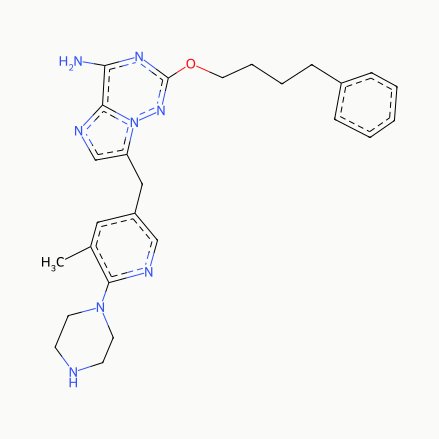 Cc1cc(Cc2cnc3c(N)nc(OCCCCc4ccccc4)nn23)cnc1N1CCNCC1